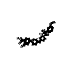 CC(C)Oc1cccc(C(O)(C(=O)N2CCC(CC3CCN(c4ccc(C(N)=O)c(Cl)c4)CC3)CC2)C(F)(F)F)c1